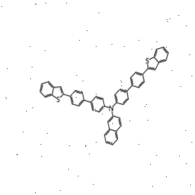 c1ccc2cc(N(c3ccc(-c4ccc(-c5cc6ccccc6s5)cc4)cc3)c3ccc(-c4ccc(-c5cc6ccccc6s5)cc4)cc3)ccc2c1